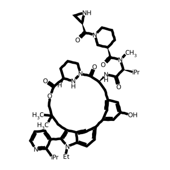 CCn1c(-c2cccnc2C(C)C)c2c3cc(ccc31)-c1cc(O)cc(c1)C[C@H](NC(=O)[C@H](C(C)C)N(C)C(=O)[C@@H]1CCCN(C(=O)[C@H]3CN3)C1)C(=O)N1CCC[C@H](N1)C(=O)OCC(C)(C)C2